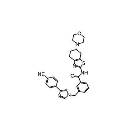 N#Cc1ccc(-c2cn(Cc3cccc(C(=O)Nc4nc5c(s4)C[C@@H](N4CCOCC4)CC5)c3)cn2)cc1